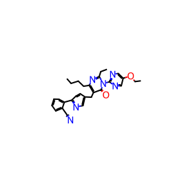 CCCCc1nc(CC)n(-c2ncc(OCC)cn2)c(=O)c1Cc1ccc(-c2ccccc2C#N)nc1